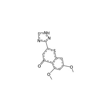 COc1cc(OC)c2c(=O)cc(-c3nc[nH]n3)sc2c1